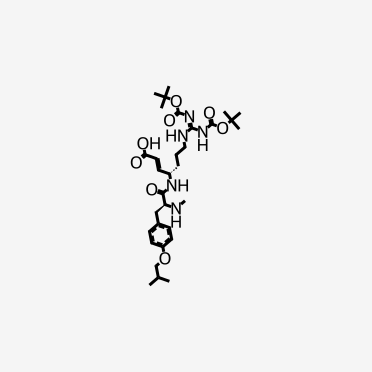 CN[C@@H](Cc1ccc(OCC(C)C)cc1)C(=O)N[C@H](/C=C/C(=O)O)CCCN/C(=N\C(=O)OC(C)(C)C)NC(=O)OC(C)(C)C